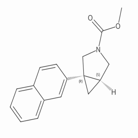 COC(=O)N1C[C@H]2C[C@@]2(c2ccc3ccccc3c2)C1